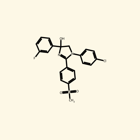 CS(=O)(=O)c1ccc(C2=NC(O)(c3cccc(F)c3)CN2c2ccc(Cl)cc2)cc1